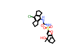 CC1(O)c2cc(S(=O)(=O)NC(=O)Nc3c4c(c(Cl)c5c3CCC5)CCC4)oc2C2CCC1C2